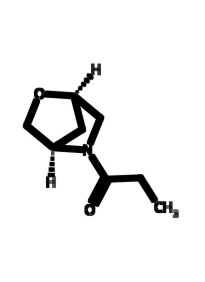 CCC(=O)N1C[C@H]2C[C@@H]1CO2